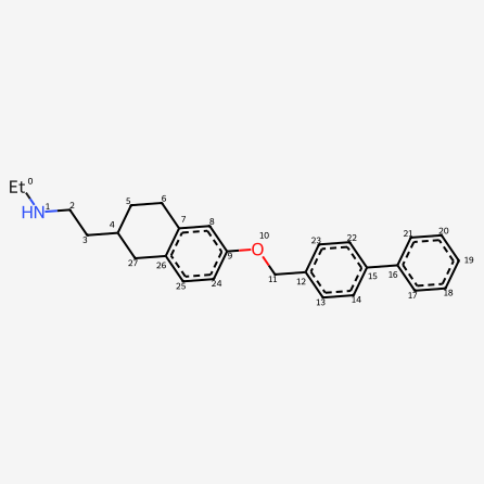 CCNCCC1CCc2cc(OCc3ccc(-c4ccccc4)cc3)ccc2C1